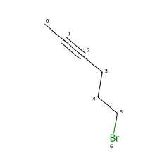 CC#CCCCBr